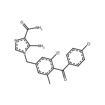 Cc1cc(Cn2cnc(C(N)=O)c2N)cc(Cl)c1C(=O)c1ccc(Cl)cc1